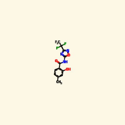 Cc1ccc(C(=O)Nc2nc(C(F)(F)C(F)(F)F)no2)c(O)c1